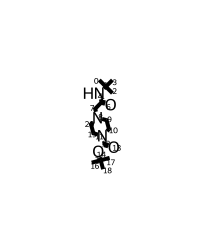 CC(C)(C)NC(=O)CN1CCN(C(=O)OC(C)(C)C)CC1